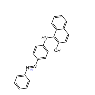 Oc1ccc2ccccc2c1Nc1ccc(/N=N/c2ccccc2)cc1